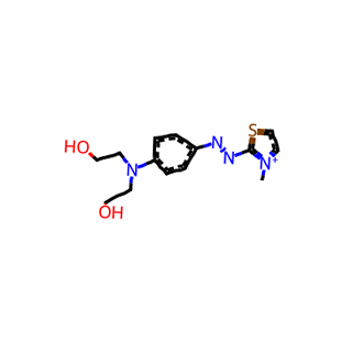 C[n+]1ccsc1/N=N/c1ccc(N(CCO)CCO)cc1